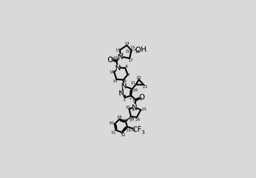 O=C(c1cnn(C2CCN(C(=O)N3CC[C@H](O)C3)CC2)c1C1CC1)N1CC[C@@H](c2ccccc2C(F)(F)F)C1